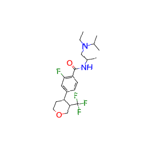 CCN(CC(C)NC(=O)c1ccc(C2CCOCC2C(F)(F)F)cc1F)C(C)C